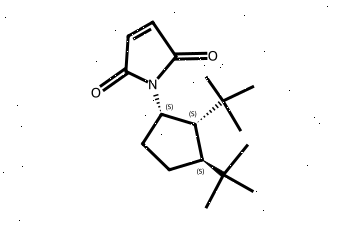 CC(C)(C)[C@H]1[C@@H](N2C(=O)C=CC2=O)CC[C@@H]1C(C)(C)C